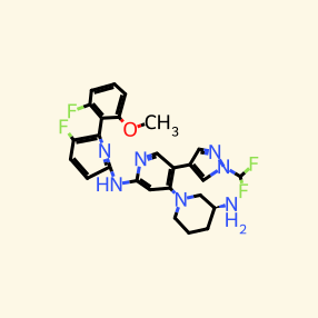 COc1cccc(F)c1-c1nc(Nc2cc(N3CCC[C@H](N)C3)c(-c3cnn(C(F)F)c3)cn2)ccc1F